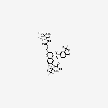 CC(C)(N(C(=O)O)c1ccc2c(c1)N(S(=O)(=O)c1ccc(F)c(C(F)(F)F)c1)C[C@H](CCC(=O)NS(=O)(=O)C(C)(C)C)O2)C(F)(F)F